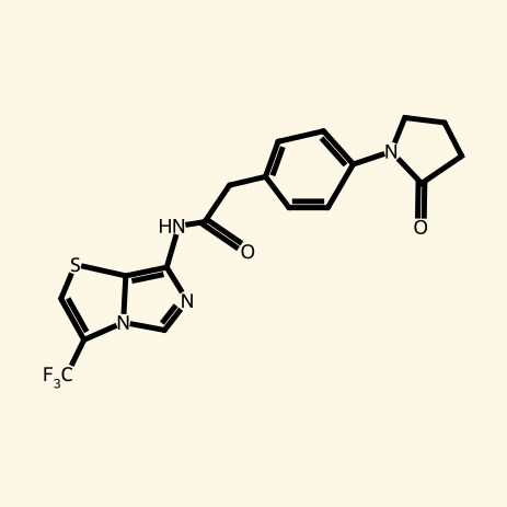 O=C(Cc1ccc(N2CCCC2=O)cc1)Nc1ncn2c(C(F)(F)F)csc12